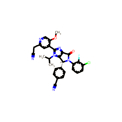 COc1cnc(CC#N)cc1-c1nc2c(n1C(C)C)[C@@H](c1ccc(C#N)cc1)N(c1cccc(Cl)c1F)C2=O